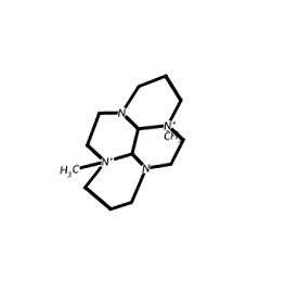 C[N+]12CCCN3CC[N+]4(C)CCCN(CC1)C4C32